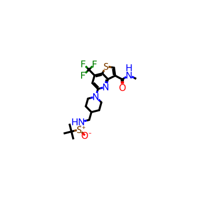 CNC(=O)c1csc2c(C(F)(F)F)cc(N3CCC(CN[S+]([O-])C(C)(C)C)CC3)nc12